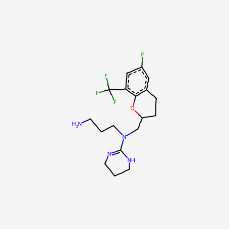 NCCCN(CC1CCc2cc(F)cc(C(F)(F)F)c2O1)C1=NCCCN1